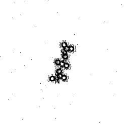 c1ccc2c(c1)nc1c3ccccc3c3cc(-c4c5ccccc5c(-c5ccc6c(c5)sc5c7ccccc7c7ccccc7c65)c5ccccc45)ccc3n21